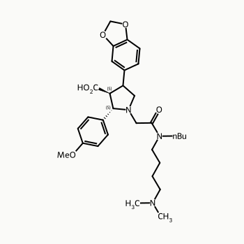 CCCCN(CCCCN(C)C)C(=O)CN1CC(c2ccc3c(c2)OCO3)[C@H](C(=O)O)[C@H]1c1ccc(OC)cc1